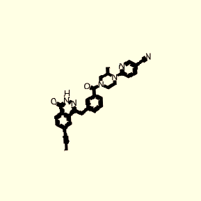 CC#Cc1ccc2c(=O)[nH]nc(Cc3cccc(C(=O)N4CCN(c5ccc(C#N)cn5)C(C)C4)c3)c2c1